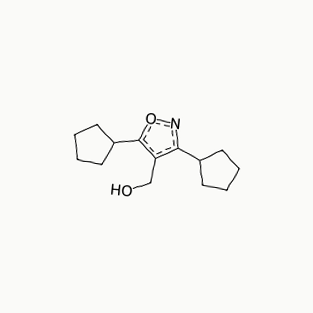 OCc1c(C2CCCC2)noc1C1CCCC1